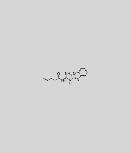 C=CCCC(=O)/N=C(\N)Nc1nc2ccccc2o1